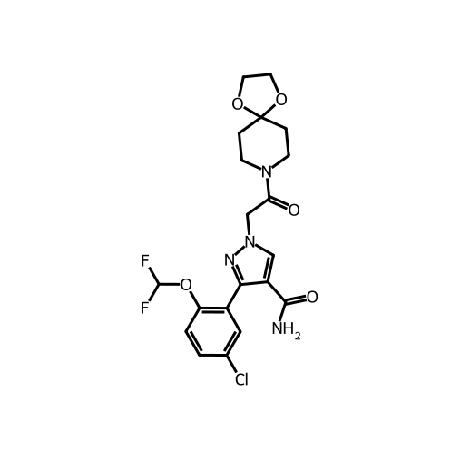 NC(=O)c1cn(CC(=O)N2CCC3(CC2)OCCO3)nc1-c1cc(Cl)ccc1OC(F)F